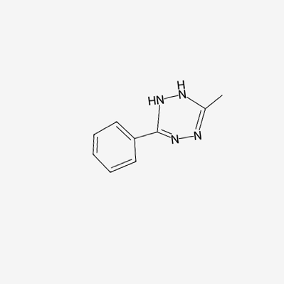 CC1=NN=C(c2ccccc2)NN1